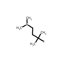 CN(C)CCC(C)(C)I